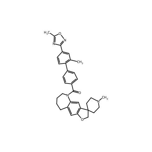 Cc1nc(-c2ccc(-c3ccc(C(=O)N4CCCCc5cc6c(cc54)C4(CCN(C)CC4)CO6)cc3)c(C)c2)no1